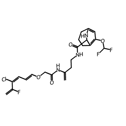 C=C(CCNC(=O)C1NC2=CC(OC(F)F)=C1CCC2)NC(=O)CO/C=C/C=C(/Cl)C(=C)F